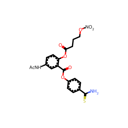 CC(=O)Nc1ccc(OC(=O)CCCO[N+](=O)[O-])c(C(=O)Oc2ccc(C(N)=S)cc2)c1